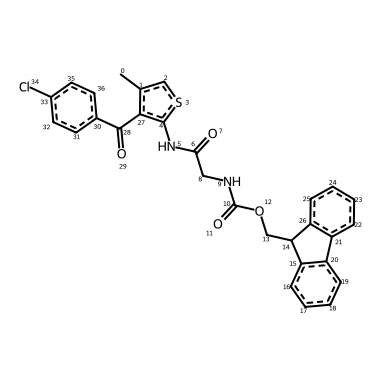 Cc1csc(NC(=O)CNC(=O)OCC2c3ccccc3-c3ccccc32)c1C(=O)c1ccc(Cl)cc1